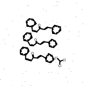 ClC(Cl)Cl.O=C(/C=C\c1ccccc1)/C=C/c1ccccc1.O=C(/C=C\c1ccccc1)/C=C/c1ccccc1.O=C(/C=C\c1ccccc1)/C=C/c1ccccc1